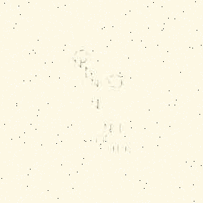 CC(CCNC(=O)CC(C)(C)C)N1CCC(N2C(=S)N(c3ccccn3)C[C@H]2c2ccccc2)CC1